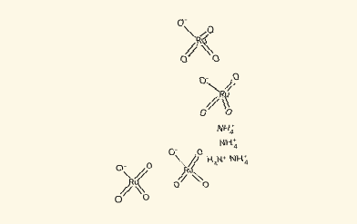 [NH4+].[NH4+].[NH4+].[NH4+].[O]=[Ru](=[O])(=[O])[O-].[O]=[Ru](=[O])(=[O])[O-].[O]=[Ru](=[O])(=[O])[O-].[O]=[Ru](=[O])(=[O])[O-]